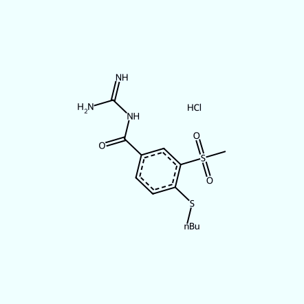 CCCCSc1ccc(C(=O)NC(=N)N)cc1S(C)(=O)=O.Cl